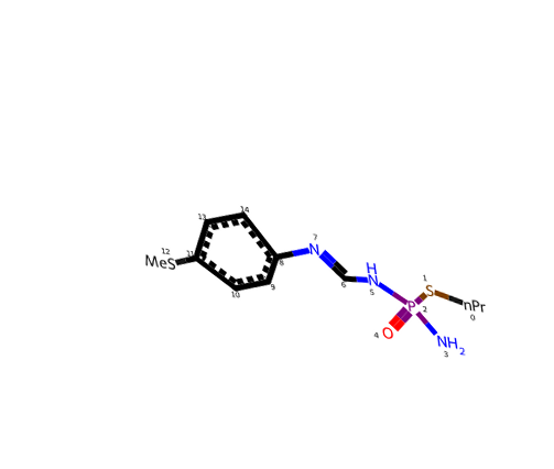 CCCSP(N)(=O)NC=Nc1ccc(SC)cc1